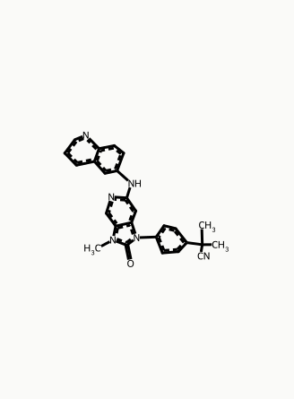 Cn1c(=O)n(-c2ccc(C(C)(C)C#N)cc2)c2cc(Nc3ccc4ncccc4c3)ncc21